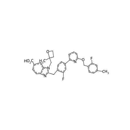 Cc1ccc(COc2cccc(-c3ccc(Cc4nc5ccc(C(=O)O)cc5n4CC4(C)CCO4)c(F)c3)n2)c(F)c1